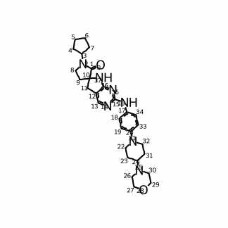 O=C1N(C2CCCC2)CCC12Cc1cnc(Nc3ccc(N4CCC(N5CCOCC5)CC4)cc3)nc1N2